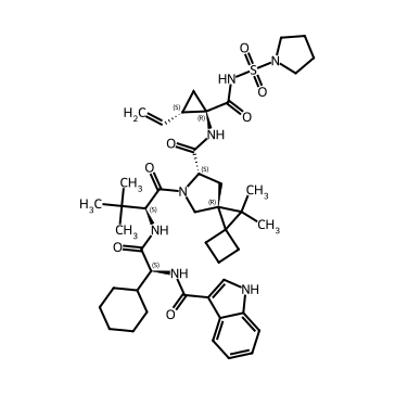 C=C[C@@H]1C[C@]1(NC(=O)[C@@H]1C[C@@]2(CN1C(=O)[C@@H](NC(=O)[C@@H](NC(=O)c1c[nH]c3ccccc13)C1CCCCC1)C(C)(C)C)C(C)(C)C21CCC1)C(=O)NS(=O)(=O)N1CCCC1